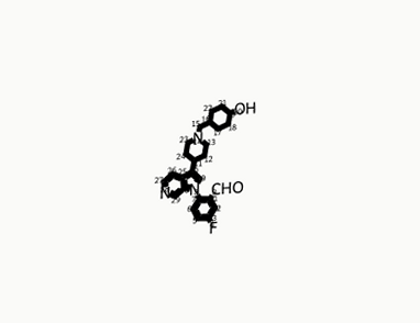 O=Cc1cc(F)ccc1-n1cc(C2CCN(CC3CCC(O)CC3)CC2)c2ccncc21